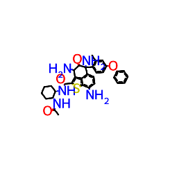 CC(=O)N[C@H]1CCCC[C@H]1NC(=O)c1sc2c(N)ccc3c2c1C(N)C(=O)C3(N)c1ccc(Oc2ccccc2)cc1C